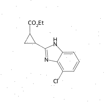 CCOC(=O)C1CC1c1nc2c(Cl)cccc2[nH]1